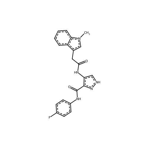 Cn1cc(CC(=O)Nc2c[nH]nc2C(=O)Nc2ccc(F)cc2)c2ccccc21